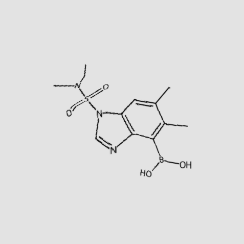 Cc1cc2c(ncn2S(=O)(=O)N(C)C)c(B(O)O)c1C